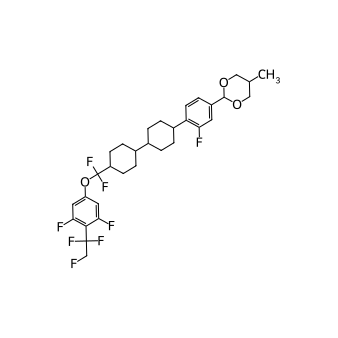 CC1COC(c2ccc(C3CCC(C4CCC(C(F)(F)Oc5cc(F)c(C(F)(F)CF)c(F)c5)CC4)CC3)c(F)c2)OC1